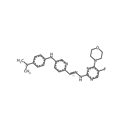 CN(C)c1ccc(Nc2ccc(/C=N/Nc3ncc(F)c(N4CCOCC4)n3)nc2)cc1